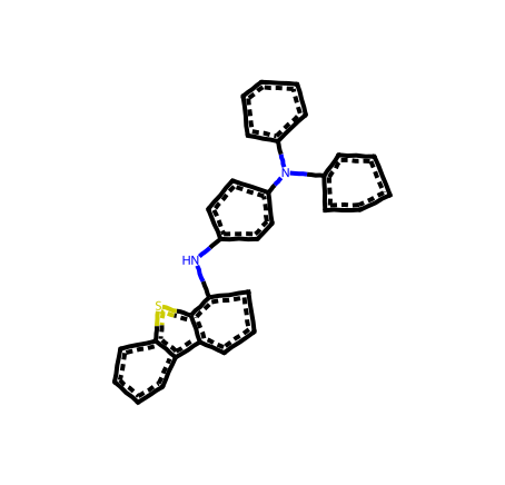 c1ccc(N(c2ccccc2)c2ccc(Nc3cccc4c3sc3ccccc34)cc2)cc1